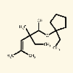 CCC1(OC(O)C(C)(C=C(C)C)CC)CCCC1